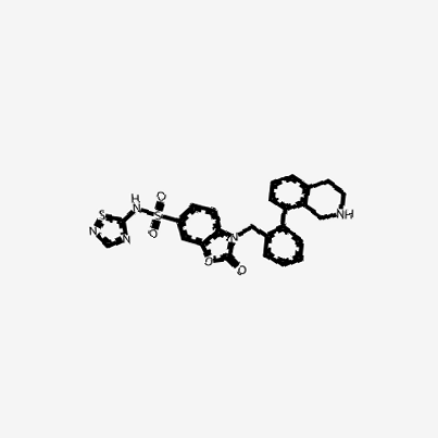 O=c1oc2cc(S(=O)(=O)Nc3ncns3)ccc2n1Cc1ccccc1-c1cccc2c1CNCC2